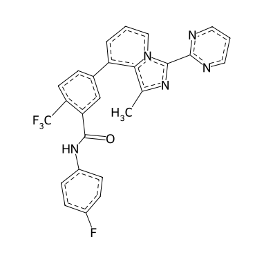 Cc1nc(-c2ncccn2)n2cccc(-c3ccc(C(F)(F)F)c(C(=O)Nc4ccc(F)cc4)c3)c12